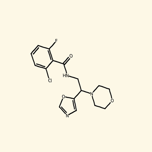 O=C(NCC(c1cnco1)N1CCOCC1)c1c(F)cccc1Cl